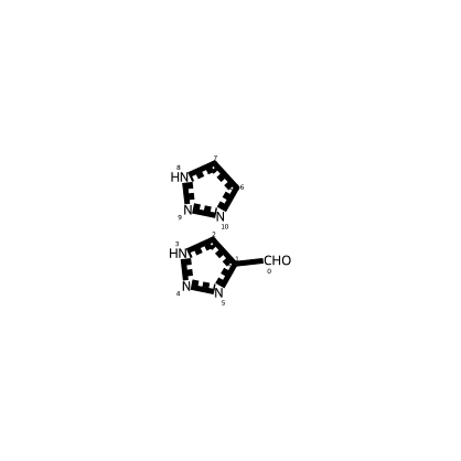 O=Cc1c[nH]nn1.c1c[nH]nn1